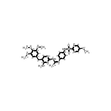 COc1cnc(S(=O)(=O)Nc2ccc(N=C(C)Nc3ncc(Cc4cc(OC)c(OC)c(OC)c4)c(N)n3)cc2)nc1